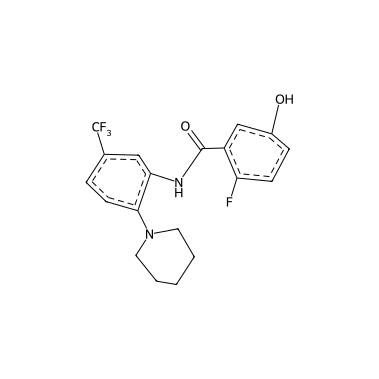 O=C(Nc1cc(C(F)(F)F)ccc1N1CCCCC1)c1cc(O)ccc1F